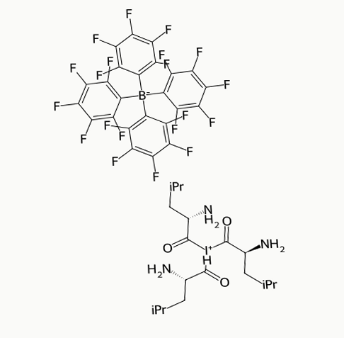 CC(C)C[C@H](N)C(=O)[IH+](C(=O)[C@@H](N)CC(C)C)C(=O)[C@@H](N)CC(C)C.Fc1c(F)c(F)c([B-](c2c(F)c(F)c(F)c(F)c2F)(c2c(F)c(F)c(F)c(F)c2F)c2c(F)c(F)c(F)c(F)c2F)c(F)c1F